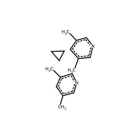 C1CC1.Cc1cncc(C)c1.Cc1cncc(C)c1